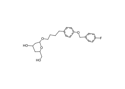 OCC1CC(O)CC(OCCCCc2ccc(OCc3ccc(F)cc3)cc2)O1